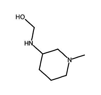 CN1CCCC(NCO)C1